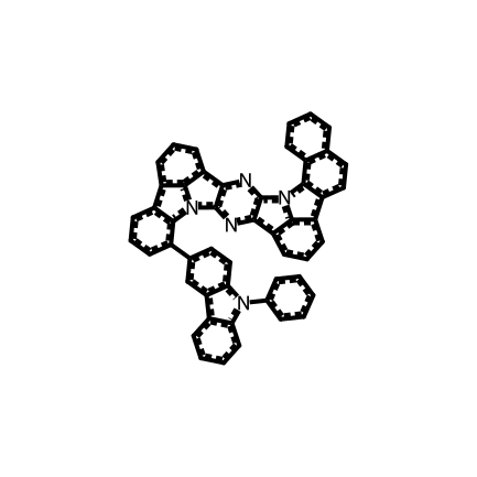 c1ccc(-n2c3ccccc3c3cc(-c4cccc5c6cccc7c8nc9c(nc8n(c45)c67)c4cccc5c6ccc7ccccc7c6n9c54)ccc32)cc1